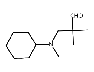 CN(CC(C)(C)C=O)C1CCCCC1